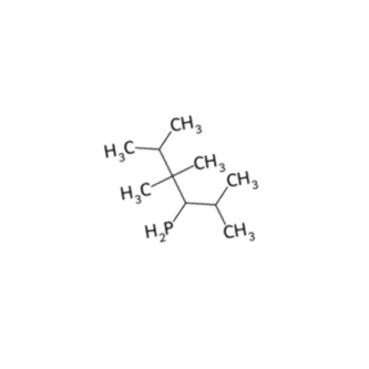 CC(C)C(P)C(C)(C)C(C)C